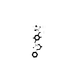 CC(c1cc(F)c(CN2[C@@H](C)C(=O)C[C@H](c3ccccc3)[S+]2[O-])cc1F)n1cnc(=O)n1C